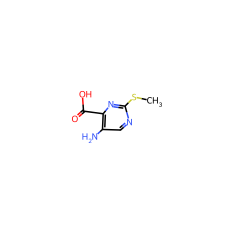 CSc1ncc(N)c(C(=O)O)n1